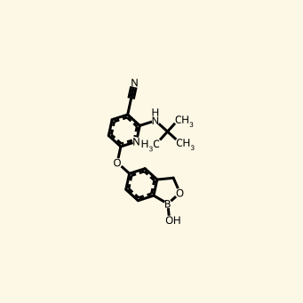 CC(C)(C)Nc1nc(Oc2ccc3c(c2)COB3O)ccc1C#N